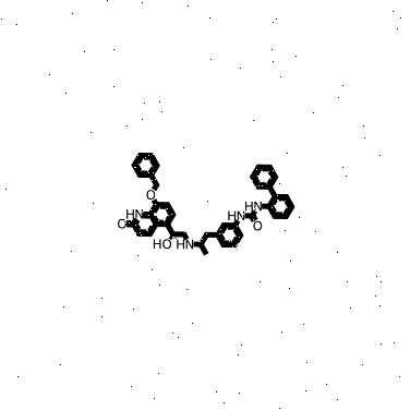 CC(Cc1cccc(NC(=O)Nc2ccccc2-c2ccccc2)c1)NC[C@@H](O)c1ccc(OCc2ccccc2)c2[nH]c(=O)ccc12